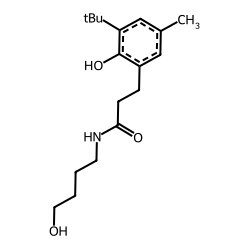 Cc1cc(CCC(=O)NCCCCO)c(O)c(C(C)(C)C)c1